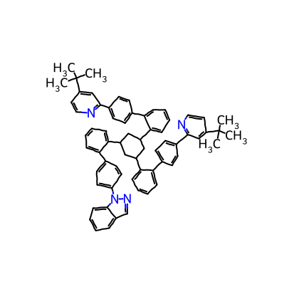 CC(C)(C)c1ccnc(-c2ccc(-c3ccccc3C3CC(c4ccccc4-c4ccc(-c5cc(C(C)(C)C)ccn5)cc4)CC(c4ccccc4-c4ccc(-n5ncc6ccccc65)cc4)C3)cc2)c1